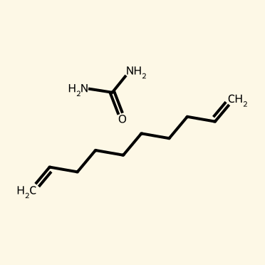 C=CCCCCCCC=C.NC(N)=O